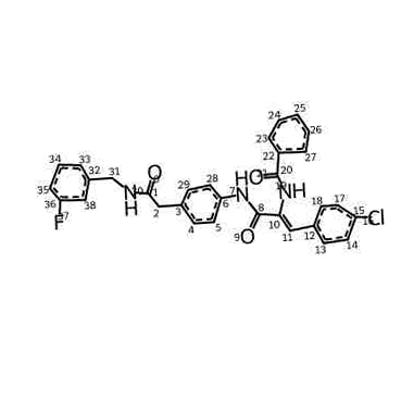 O=C(Cc1ccc(NC(=O)C(=Cc2ccc(Cl)cc2)NC(=O)c2ccccc2)cc1)NCc1cccc(F)c1